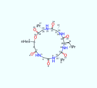 CCCCCCC1CC(=O)NCC(=O)N[C@@H](C(C)C)C(=O)N[C@H](CC(C)C)C(=O)N[C@@H](C)C(=O)N[C@@H](C(C)C)C(=O)O1